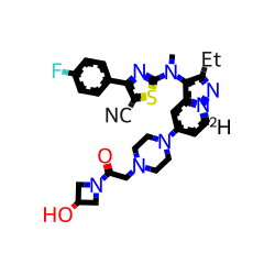 [2H]c1cc(N2CCN(CC(=O)N3CC(O)C3)CC2)cc2c(N(C)c3nc(-c4ccc(F)cc4)c(C#N)s3)c(CC)nn12